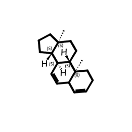 C[C@@]12CCC[C@H]1[C@@H]1C=CC3C=CCC[C@]3(C)[C@H]1CC2